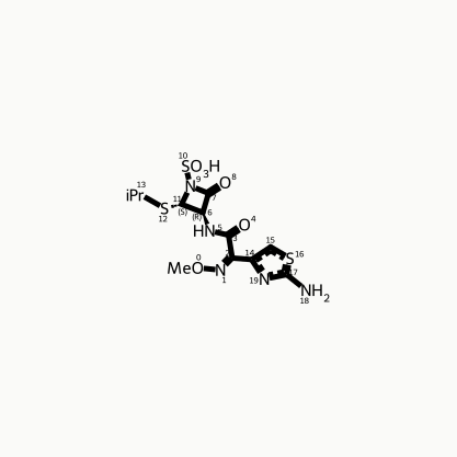 CON=C(C(=O)N[C@@H]1C(=O)N(S(=O)(=O)O)[C@H]1SC(C)C)c1csc(N)n1